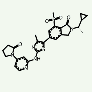 Cc1nc(Nc2cc(N3CCCC3=O)ccn2)sc1-c1cc2c(c(S(C)(=O)=O)c1)C(=O)N([C@@H](C)C1CC1)C2